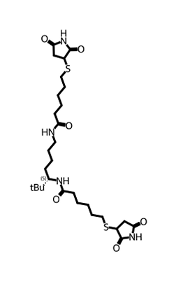 CC(C)(C)[C@H](CCCCNC(=O)CCCCCSC1CC(=O)NC1=O)NC(=O)CCCCCSC1CC(=O)NC1=O